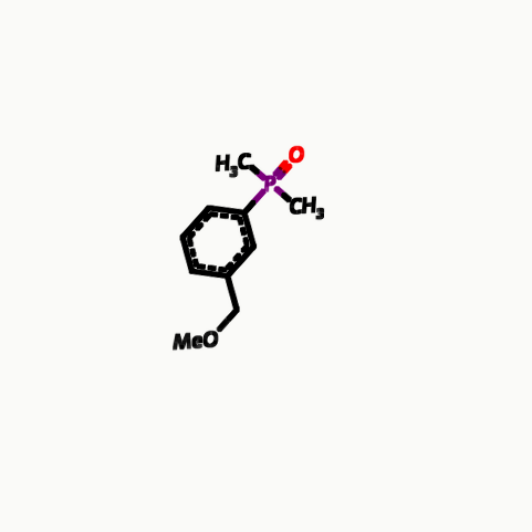 COCc1cccc(P(C)(C)=O)c1